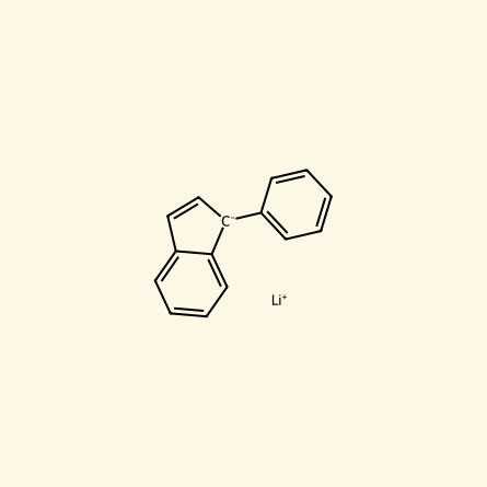 [Li+].c1ccc(-[c-]2ccc3ccccc32)cc1